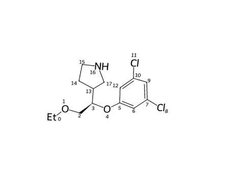 CCOC[C@H](Oc1cc(Cl)cc(Cl)c1)C1CCNC1